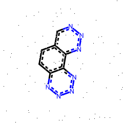 c1cc2nnnnc2c2nnncc12